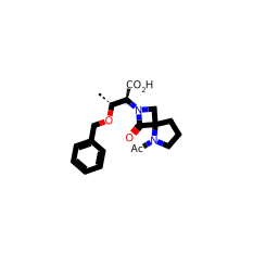 CC(=O)N1CCCC12CN([C@H](C(=O)O)[C@@H](C)OCc1ccccc1)C2=O